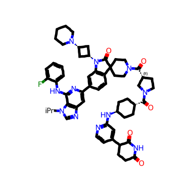 CC(C)n1cnc2cc(-c3ccc4c(c3)N([C@H]3C[C@@H](N5CCCCC5)C3)C(=O)C43CCN(C(=O)[C@@H]4CCN(C(=O)[C@H]5CC[C@H](Nc6cc(C7CCC(=O)NC7=O)ccn6)CC5)C4)CC3)nc(Nc3ccccc3F)c21